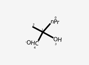 CCCC(C)(O)[C]=O